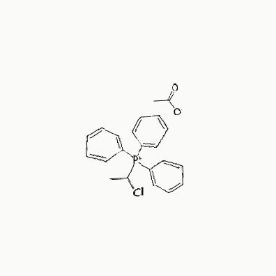 CC(=O)[O-].CC(Cl)[P+](c1ccccc1)(c1ccccc1)c1ccccc1